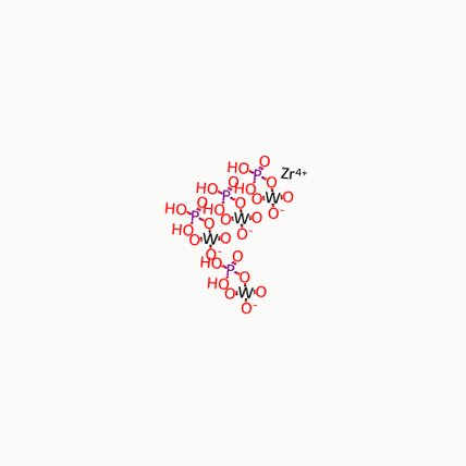 O=P(O)(O)[O][W](=[O])(=[O])[O-].O=P(O)(O)[O][W](=[O])(=[O])[O-].O=P(O)(O)[O][W](=[O])(=[O])[O-].O=P(O)(O)[O][W](=[O])(=[O])[O-].[Zr+4]